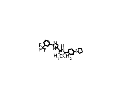 C=C(N[C@@H](CC)C1=NC(c2cccc(C(F)(F)F)c2)=NC1)c1ccc(N2CCCC2)cc1